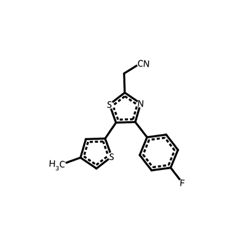 Cc1csc(-c2sc(CC#N)nc2-c2ccc(F)cc2)c1